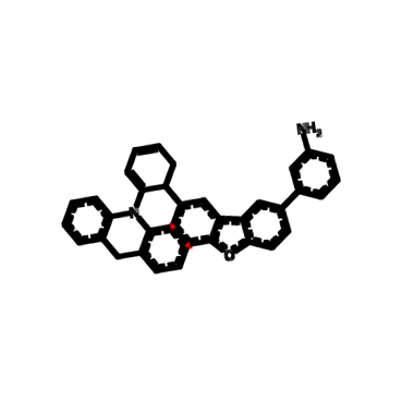 Nc1cccc(-c2ccc3oc4ccc(C5CC=CC=C5N5c6ccccc6Cc6ccccc65)cc4c3c2)c1